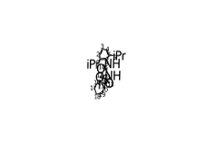 CC(C)c1cccc(C(C)C)c1NC(=O)NS(=O)(=O)N1CCCCC1